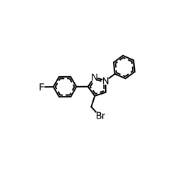 Fc1ccc(-c2nn(-c3ccccc3)cc2CBr)cc1